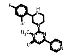 Cn1c(N2CCNC(c3ccc(F)cc3Br)C2)nc(-c2ccncc2)cc1=O